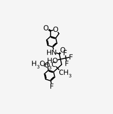 COc1ccc(F)cc1C(C)(C)CC(O)(C(=O)Nc1ccc2c(c1)COC2=O)C(F)(F)F